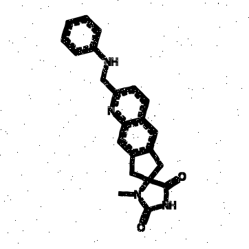 CN1C(=O)NC(=O)C12Cc1cc3ccc(CNc4ccccc4)nc3cc1C2